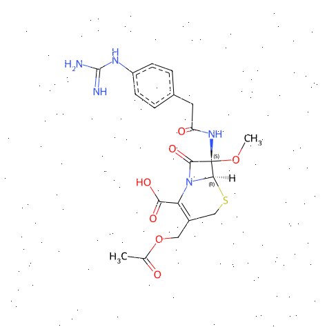 CO[C@@]1(NC(=O)Cc2ccc(NC(=N)N)cc2)C(=O)N2C(C(=O)O)=C(COC(C)=O)CS[C@@H]21